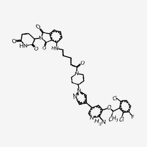 C[C@@H](Oc1cc(-c2cnn(C3CCN(C(=O)CCCCNc4cccc5c4C(=O)N(C4CCC(=O)NC4=O)C5=O)CC3)c2)cnc1N)c1c(Cl)ccc(F)c1Cl